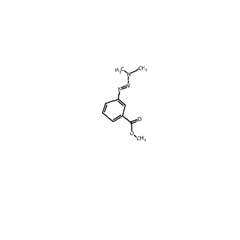 COC(=O)c1cccc(N=NN(C)C)c1